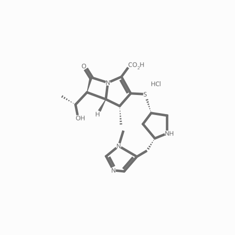 C[C@@H](O)[C@H]1C(=O)N2C(C(=O)O)=C(S[C@@H]3CN[C@H](Cc4cncn4C)C3)[C@H](C)[C@H]12.Cl